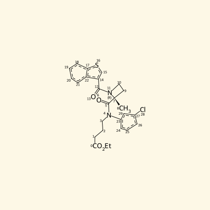 CCOC(=O)CCCN(C(=O)[C@@]1(C)CCN1C(=O)c1csc2ccccc12)c1cccc(Cl)c1